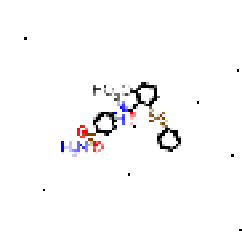 NS(=O)(=O)c1ccc(NC(=O)c2c(SSc3ccccc3)cccc2C(=O)O)cc1